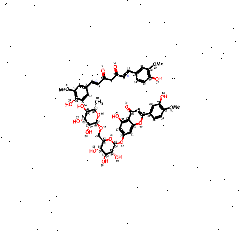 COc1cc(/C=C/C(=O)CC(=O)/C=C/c2ccc(O)c(OC)c2)ccc1O.COc1ccc(-c2cc(=O)c3c(O)cc(O[C@@H]4O[C@H](CO[C@@H]5O[C@@H](C)[C@H](O)[C@@H](O)[C@H]5O)[C@@H](O)[C@H](O)[C@H]4O)cc3o2)cc1O